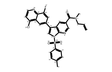 C=CCN(C)C(=O)c1cnc2c(c1)c(-c1cc(F)c3nccc(Cl)c3c1)cn2S(=O)(=O)c1ccc(C)cc1